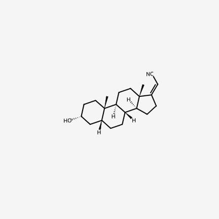 C[C@]12CC[C@@H](O)C[C@H]1CC[C@@H]1[C@@H]2CC[C@]2(C)/C(=C\C#N)CC[C@@H]12